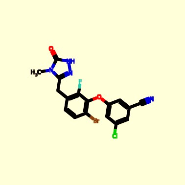 Cn1c(Cc2ccc(Br)c(Oc3cc(Cl)cc(C#N)c3)c2F)n[nH]c1=O